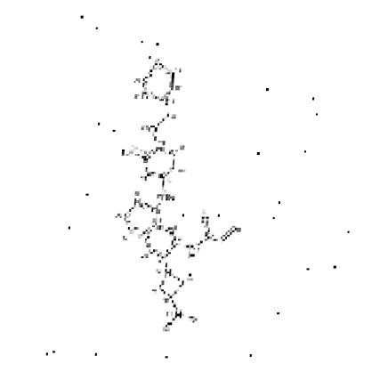 C=CC(=O)Nc1cc2c(Nc3ccc(OCc4ccccn4)c(Cl)c3)ncnc2cc1N1CC(N(C)C)C1